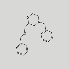 c1ccc(COCC2CN(Cc3ccccc3)CCO2)cc1